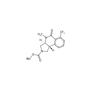 CN1C(=O)c2c(cccc2C(F)(F)F)[C@@H]2CN(C(=O)OC(C)(C)C)C[C@H]21